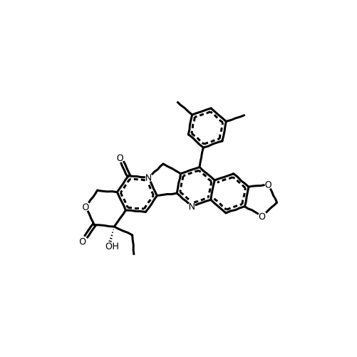 CC[C@@]1(O)C(=O)OCc2c1cc1n(c2=O)Cc2c-1nc1cc3c(cc1c2-c1cc(C)cc(C)c1)OCO3